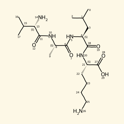 CC(C)C[C@H](NC(=O)[C@H](C)NC(=O)[C@@H](N)C(C)C)C(=O)N[C@@H](CCCCN)C(=O)O